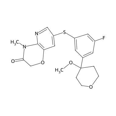 COC1(c2cc(F)cc(Sc3cnc4c(c3)OCC(=O)N4C)c2)CCOCC1